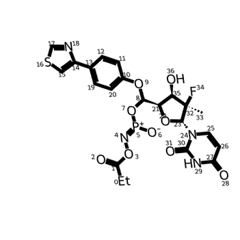 CCC(=O)ON=[P+]([O-])OC(Oc1ccc(-c2cscn2)cc1)[C@@H]1O[C@@H](n2ccc(=O)[nH]c2=O)[C@](C)(F)[C@@H]1O